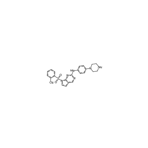 N#Cc1ccccc1S(=O)(=O)n1ccc2cnc(Nc3ccc(N4CCNCC4)cc3)nc21